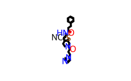 N#Cc1c(NC(=O)CCc2ccccc2)sc2c1CCN(C(=O)CCn1ccnc1)C2